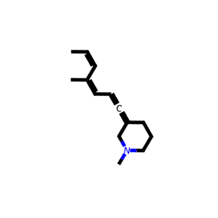 C/C=C\C(C)=C/C=C=C1CCCN(C)C1